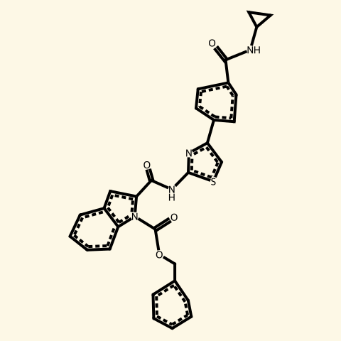 O=C(NC1CC1)c1ccc(-c2csc(NC(=O)c3cc4ccccc4n3C(=O)OCc3ccccc3)n2)cc1